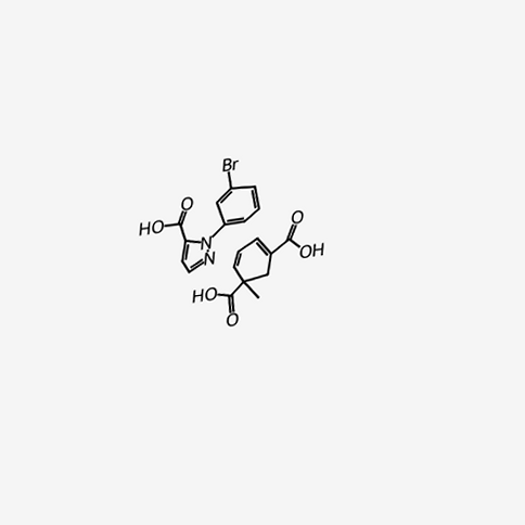 CC1(C(=O)O)C=CC=C(C(=O)O)C1.O=C(O)c1ccnn1-c1cccc(Br)c1